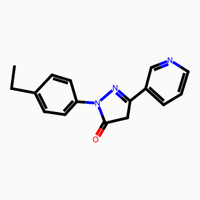 CCc1ccc(N2N=C(c3cccnc3)CC2=O)cc1